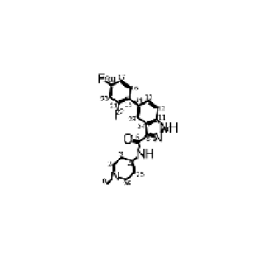 CN1CCC(NC(=O)c2n[nH]c3ccc(-c4ccc(F)cc4F)cc23)CC1